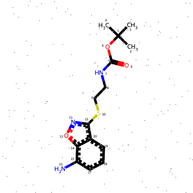 CC(C)(C)OC(=O)NCCSc1noc2c(N)cccc12